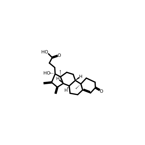 C=C1C(=C)[C@@](O)(CCC(=O)O)[C@@]2(C)CC[C@H]3[C@@H](CCC4=CC(=O)CC[C@@]43C)[C@H]12